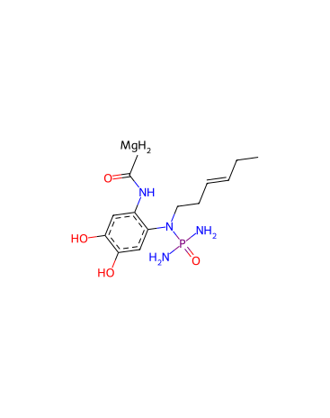 CCC=CCCN(c1cc(O)c(O)cc1NC(C)=O)P(N)(N)=O.[MgH2]